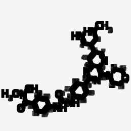 CNCC(C=N)c1cnc2c(N3CCOCC3)nc(-c3ccc(NC(=O)Nc4ccc(C(=O)N(C)C)cc4)cc3)nc2c1